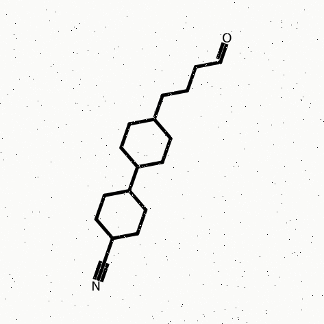 N#CC1CCC(C2CCC(CCCC=O)CC2)CC1